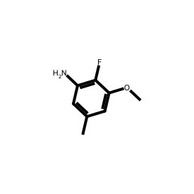 COc1cc(C)cc(N)c1F